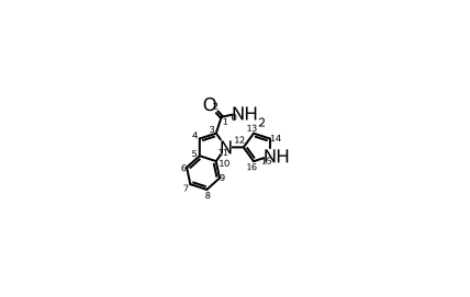 NC(=O)c1cc2ccccc2n1-c1cc[nH]c1